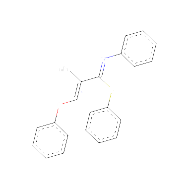 CCCC(=C\Oc1ccccc1)/C(=N/c1ccccc1)Sc1ccccc1